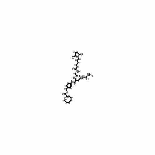 NC(=O)NCCCC(NC(=O)CNC(=O)CCCCCN1C(=O)C=CC1=O)C(=O)Nc1ccc(COC(=O)C2CCCCCCC2)cc1